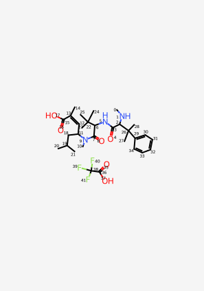 CNC(C(=O)NC(C(=O)N(C)C(C=C(C)C(=O)O)CC(C)C)C(C)(C)C)C(C)(C)c1ccccc1.O=C(O)C(F)(F)F